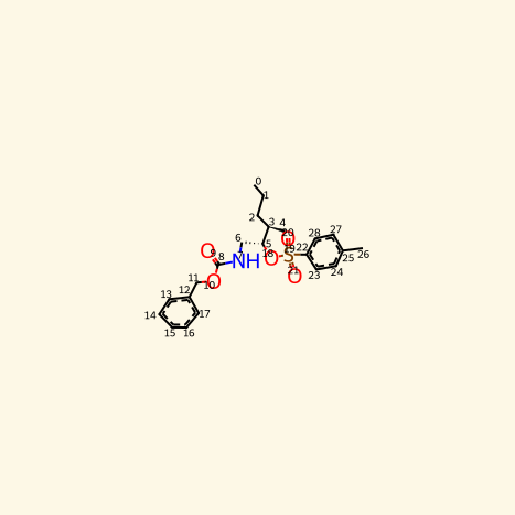 CCC[C@@H](C)[C@@H](CNC(=O)OCc1ccccc1)OS(=O)(=O)c1ccc(C)cc1